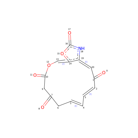 O=C1/C=C/C=C/CC(=O)CC(=O)O/C=c2\oc(=O)[nH]\c2=C\1